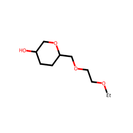 CCOCCOCC1CCC(O)CO1